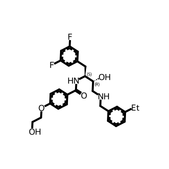 CCc1cccc(CNC[C@@H](O)[C@H](Cc2cc(F)cc(F)c2)NC(=O)c2ccc(OCCO)cc2)c1